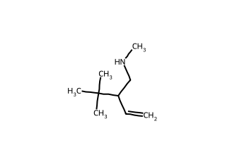 C=CC(CNC)C(C)(C)C